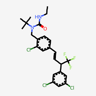 CCNC(=O)N(Cc1ccc(/C=C/C(c2cc(Cl)cc(Cl)c2)C(F)(F)F)cc1Cl)C(C)(C)C